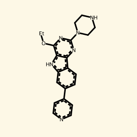 CCOc1nc(N2CCNCC2)nc2c1[nH]c1cc(-c3ccncc3)ccc12